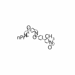 CCCN1CCC2(CC1)COc1cc3c(cc12)N(C(=O)c1ccc(-c2ccc(N4CCCC4=O)cc2C)cc1)CC3